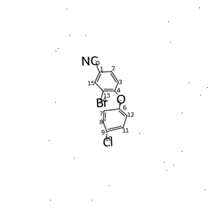 N#Cc1ccc(Oc2ccc(Cl)cc2)c(Br)c1